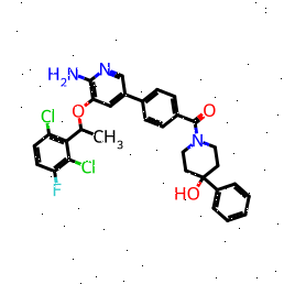 CC(Oc1cc(-c2ccc(C(=O)N3CCC(O)(c4ccccc4)CC3)cc2)cnc1N)c1c(Cl)ccc(F)c1Cl